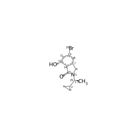 C[C@@H](C1CC1)N1Cc2cc(Br)cc(O)c2C1=O